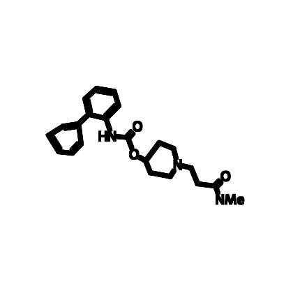 CNC(=O)CCN1CCC(OC(=O)Nc2ccccc2-c2ccccc2)CC1